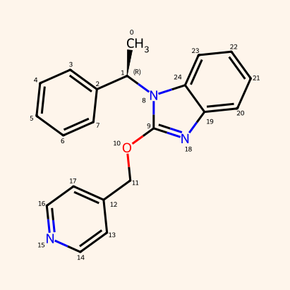 C[C@H](c1ccccc1)n1c(OCc2ccncc2)nc2ccccc21